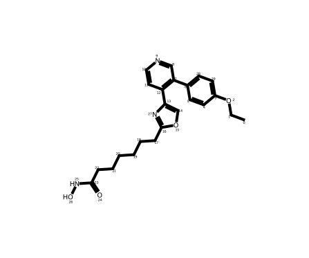 CCOc1ccc(-c2cnccc2-c2coc(CCCCCCC(=O)NO)n2)cc1